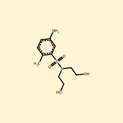 Cc1ccc(N)cc1S(=O)(=O)N(CCO)CCO